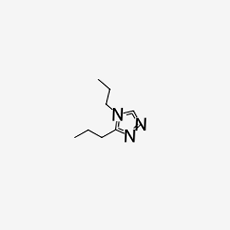 CCCc1nncn1CCC